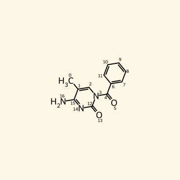 Cc1cn(C(=O)c2ccccc2)c(=O)nc1N